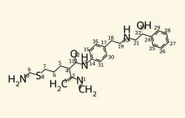 C=NC(=C)C(CCCSCN)C(=O)Nc1ccc(CCNC[C@H](O)c2ccccc2)cc1